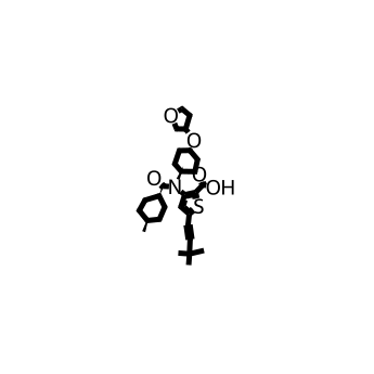 CC(C)(C)C#Cc1cc(N(C(=O)[C@H]2CC[C@H](C)CC2)[C@H]2CC[C@@H](OC3CCOC3)CC2)c(C(=O)O)s1